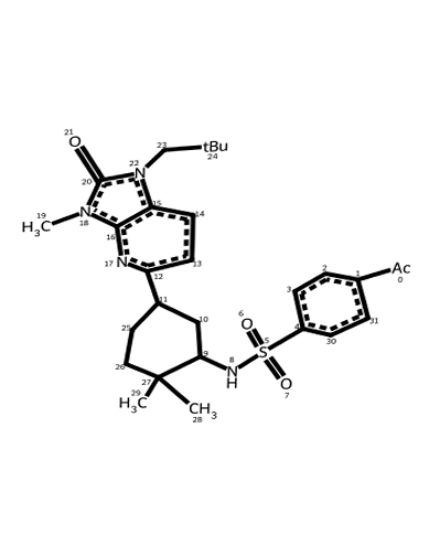 CC(=O)c1ccc(S(=O)(=O)NC2CC(c3ccc4c(n3)n(C)c(=O)n4CC(C)(C)C)CCC2(C)C)cc1